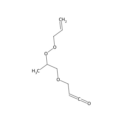 C=CCOOC(C)COCC=C=O